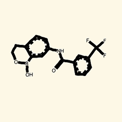 O=C(Nc1ccc2c(c1)B(O)OCC2)c1cccc(C(F)(F)F)c1